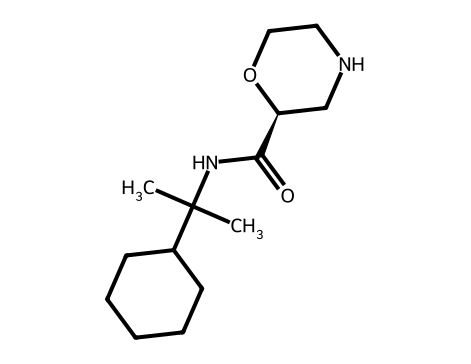 CC(C)(NC(=O)[C@@H]1CNCCO1)C1CCCCC1